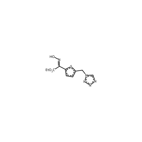 CCOC(=O)/C(=N\O)c1ccc(Cn2cnnn2)s1